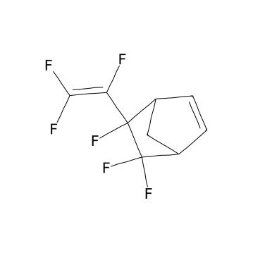 FC(F)=C(F)C1(F)C2C=CC(C2)C1(F)F